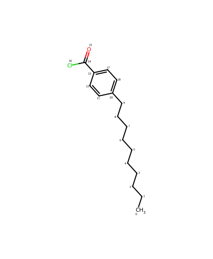 CCCCCCCCCCc1ccc(C(=O)Cl)cc1